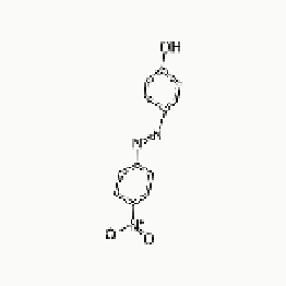 O=[N+]([O-])c1ccc(N=Nc2ccc(O)cc2)cc1